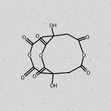 O=C1CC2(O)CC(=O)OC(=O)CC(O)(CC(=O)O1)C(=O)OC2=O